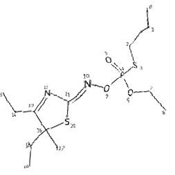 CCCSP(=O)(OCC)ON=C1N=C(CC)C(C)(CC)S1